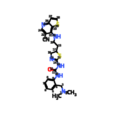 CN(C)Cc1ccccc1NC(=O)NC1=NCC(CCNc2c(C#N)cnc3ccsc23)S1